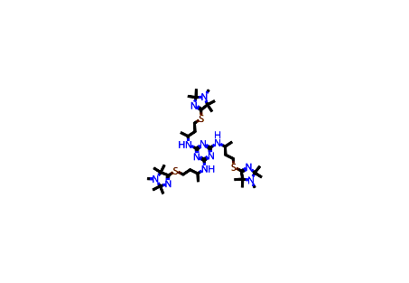 CC(CCSC1=NC(C)(C)N(C)C1(C)C)Nc1nc(NC(C)CCSC2=NC(C)(C)N(C)C2(C)C)nc(NC(C)CCSC2=NC(C)(C)N(C)C2(C)C)n1